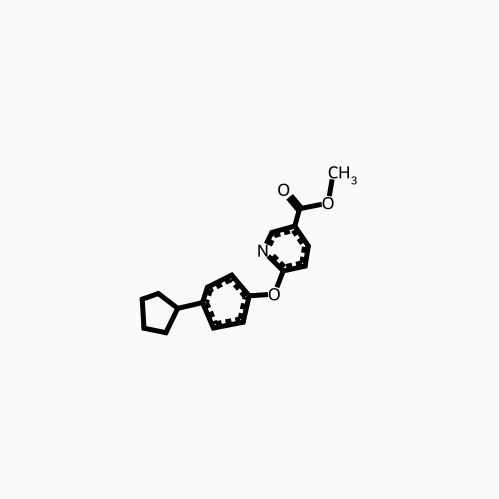 COC(=O)c1ccc(Oc2ccc(C3CCCC3)cc2)nc1